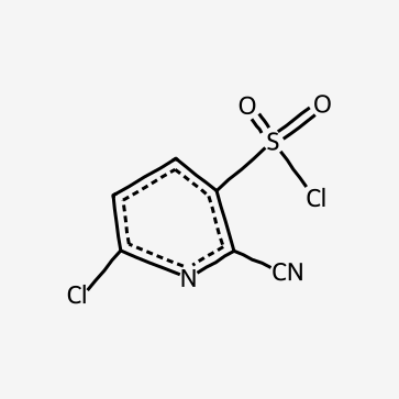 N#Cc1nc(Cl)ccc1S(=O)(=O)Cl